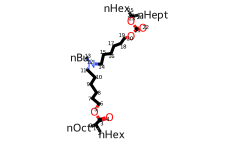 CCCCCCCCC(CCCCCC)C(=O)OCCCCCCN(CCCC)CCCCCCOC(=O)OC(CCCCCC)CCCCCCC